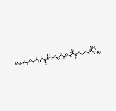 CNCCOCCOCC(=O)NCCOCCOCC(=O)NCCCCC(N)C=O